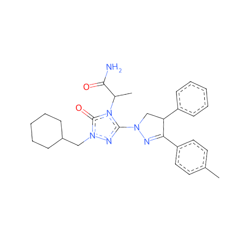 Cc1ccc(C2=NN(c3nn(CC4CCCCC4)c(=O)n3C(C)C(N)=O)CC2c2ccccc2)cc1